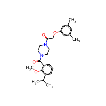 COc1c(C(=O)N2CCN(C(=O)COc3cc(C)cc(C)c3)CC2)cccc1C(C)C